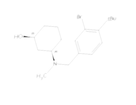 CN(Cc1ccc(C(C)(C)C)c(Br)c1)[C@@H]1CCC[C@H](O)C1